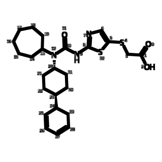 O=C(O)CSc1cnc(NC(=O)N(C2CCCCCC2)[C@H]2CC[C@H](C3C=CC=CC3)CC2)s1